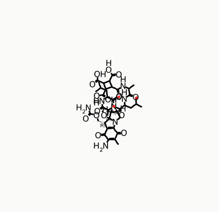 CO[C@]12[C@@H](COC(N)=O)C3=C(C(=O)C(C)=C(N)C3=O)N1C[C@@H]1[C@H]2N1C(=O)C(CC(C)C)NC(=O)C(C)NC(=O)C(CC(C)C)NC(=O)C(C)NC(=O)C1C(C(=O)O)C(C(=O)O)C1C(=O)O